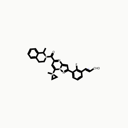 CC1c2ccccc2CCN1C(=O)c1cc(S2(C)CC2)n2nc(-c3cccc(/C=C/C=O)c3F)cc2n1